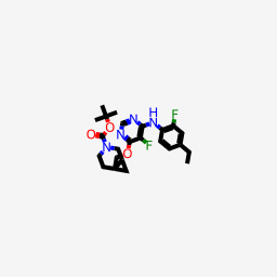 CCc1ccc(Nc2ncnc(OCC34CCN(C(=O)OC(C)(C)C)CC3C4)c2F)c(F)c1